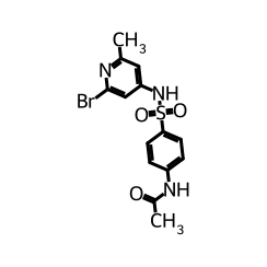 CC(=O)Nc1ccc(S(=O)(=O)Nc2cc(C)nc(Br)c2)cc1